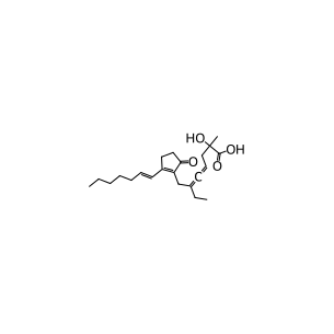 CCCCC/C=C/C1=C(CC(=C=CCC(C)(O)C(=O)O)CC)C(=O)CC1